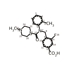 Cc1ccccc1N(Cc1ccc(C(=O)O)cc1F)C(=O)N1CCN(C)CC1